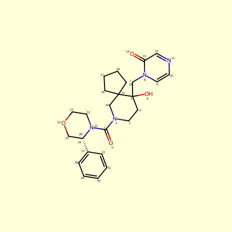 O=C(N1CCC(O)(Cn2ccncc2=O)C2(CCCC2)C1)N1CCOC[C@H]1c1ccccc1